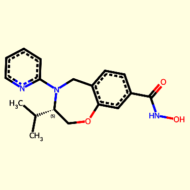 CC(C)[C@H]1COc2cc(C(=O)NO)ccc2CN1c1ccccn1